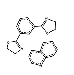 c1cc(C2=NCCO2)cc(C2=NCCO2)c1.c1ccc2ncccc2c1